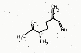 C=C(C=N)CC[C@H](C)C(=C)C